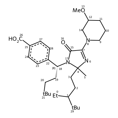 CCC(CCC1(C)N=C(N2CCCC(OC)C2)C(=O)N1[C@H](CCC(C)(C)C)c1ccc(C(=O)O)cc1)C(C)(C)C